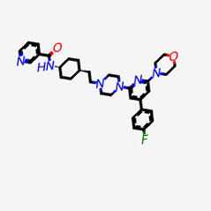 O=C(N[C@H]1CC[C@H](CCN2CCN(c3cc(-c4ccc(F)cc4)cc(N4CCOCC4)n3)CC2)CC1)c1cccnc1